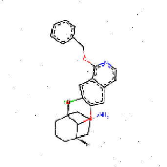 N[C@H]1C[C@H]2CCC[C@@H](C1)C2Oc1cc2ccnc(OCc3ccccc3)c2cc1Cl